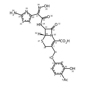 CC(=O)c1ccc(OCC2=C(C(=O)O)N3C(=O)C(NC(=O)/C(=N\O)c4csc(N)n4)[C@H]3SC2)cc1O